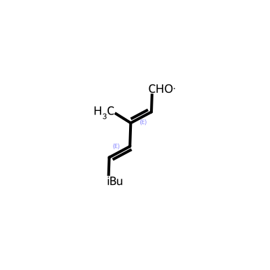 CCC(C)/C=C/C(C)=C/[C]=O